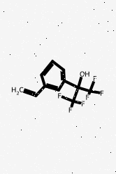 C=Cc1cccc(C(O)(C(F)(F)F)C(F)(F)F)c1